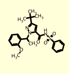 COc1ccccc1C(C)n1nc(C(C)(C)C)cc1C(=O)NS(=O)(=O)c1ccccc1